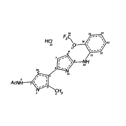 CC(=O)Nc1nc(C)c(-c2csc(Nc3ccccc3OC(F)(F)F)n2)s1.Cl